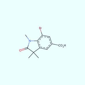 CN1C(=O)C(C)(C)c2cc(C(=O)O)cc(Br)c21